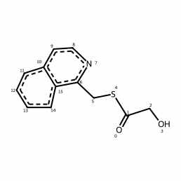 O=C(CO)SCc1nccc2ccccc12